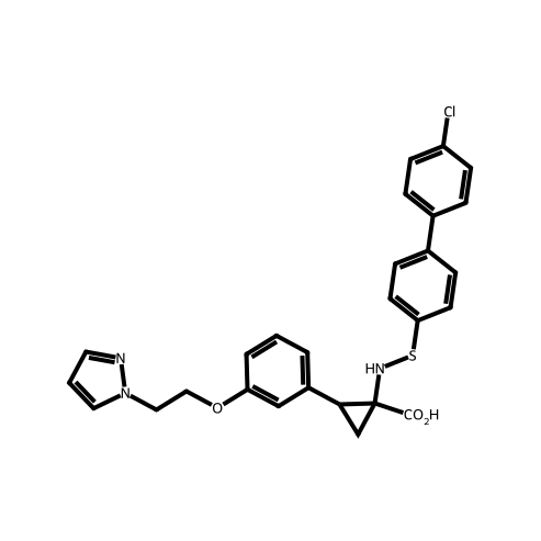 O=C(O)C1(NSc2ccc(-c3ccc(Cl)cc3)cc2)CC1c1cccc(OCCn2cccn2)c1